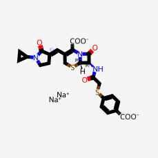 O=C(CSc1ccc(C(=O)[O-])cc1)N[C@@H]1C(=O)N2C(C(=O)[O-])=C(/C=C3\CCN(C4CC4)C3=O)CS[C@H]12.[Na+].[Na+]